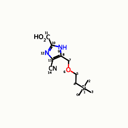 C[Si](C)(C)CCOCc1[nH]c(C(=O)O)nc1C#N